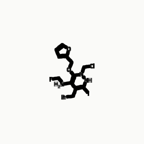 FC[SiH2]C1=C(OCc2ccco2)N(CCl)NC(I)=C1CBr